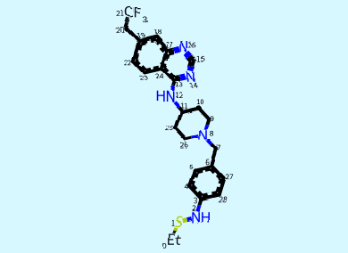 CCSNc1ccc(CN2CCC(Nc3ncnc4cc(CC(F)(F)F)ccc34)CC2)cc1